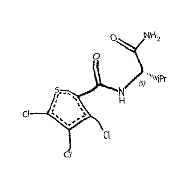 CC(C)[C@H](NC(=O)c1sc(Cl)c(Cl)c1Cl)C(N)=O